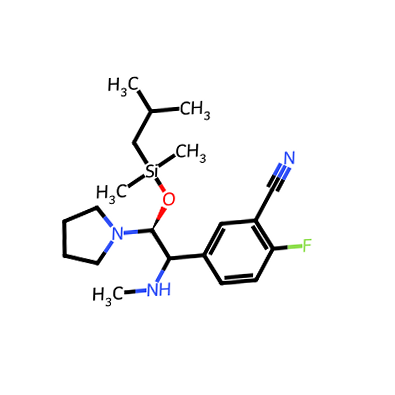 CNC(c1ccc(F)c(C#N)c1)[C@H](O[Si](C)(C)CC(C)C)N1CCCC1